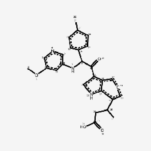 COc1cncc(NC(C(=O)c2c[nH]c3c(C(C)CC(=O)O)cccc23)c2ccc(F)cc2)c1